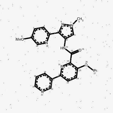 COc1ccc(-c2nn(C)cc2NC(=O)c2nc(-c3cccnc3)ccc2OC(C)C)nc1